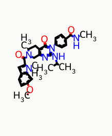 CNC(=O)c1ccc(-n2c(NC(C)C)nc3c(c2=O)C[C@@H](C)N(C(=O)c2cc4ccc(OC)cc4n2C)C3)cc1